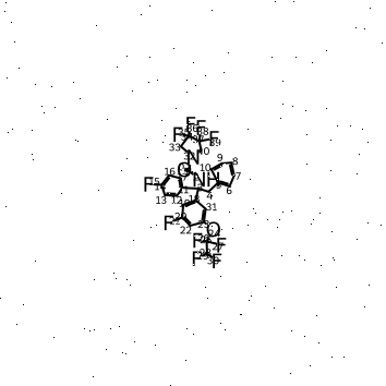 O=C(NC(Cc1ccccc1)(c1ccc(F)cc1)c1cc(F)cc(OC(F)(F)C(F)F)c1)N1CC(F)(F)C(F)(F)C1